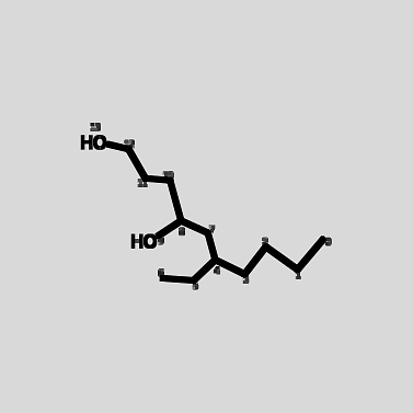 CCCCC(CC)CC(O)CCCO